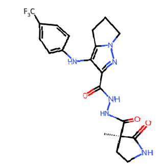 C[C@@]1(C(=O)NNC(=O)c2nn3c(c2Nc2ccc(C(F)(F)F)cc2)CCC3)CCNC1=O